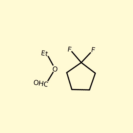 CCOC=O.FC1(F)CCCC1